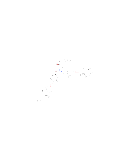 CCCCc1ccc(COc2ccc(C(=O)N(CC(=O)OC)Cc3ccc(OCc4ccccc4)cc3)cc2)cc1